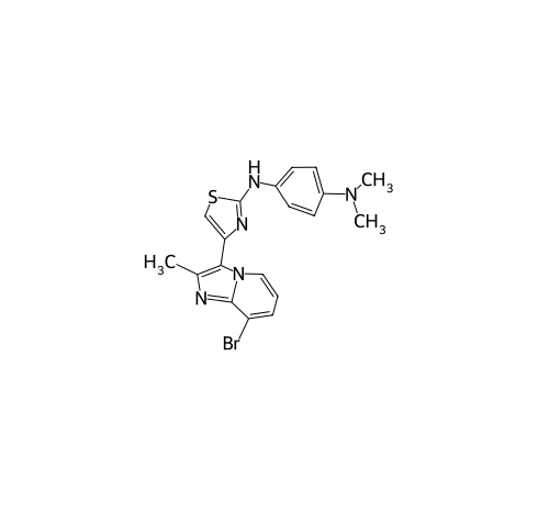 Cc1nc2c(Br)cccn2c1-c1csc(Nc2ccc(N(C)C)cc2)n1